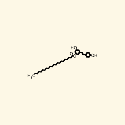 CCCCCCCCCCCCCCCCCCCCCC(=O)Oc1cc(O)cc(C=Cc2ccc(O)cc2)c1